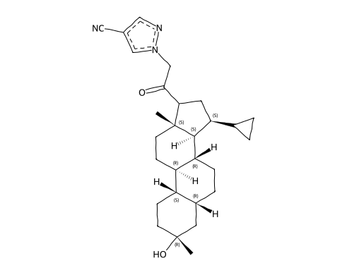 C[C@@]1(O)CC[C@H]2[C@H](CC[C@@H]3[C@@H]2CC[C@]2(C)C(C(=O)Cn4cc(C#N)cn4)C[C@@H](C4CC4)[C@@H]32)C1